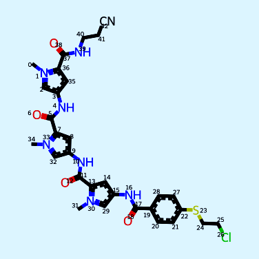 Cn1cc(NC(=O)c2cc(NC(=O)c3cc(NC(=O)c4ccc(SCCCl)cc4)cn3C)cn2C)cc1C(=O)NCCC#N